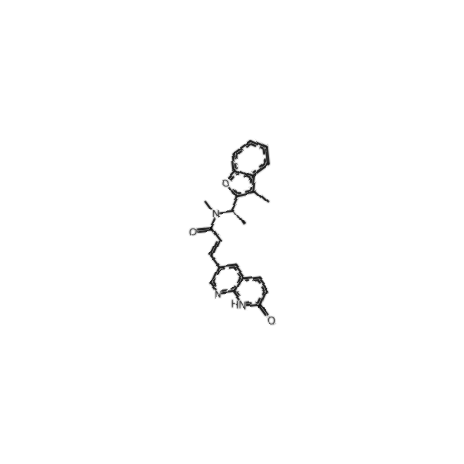 Cc1c([C@@H](C)N(C)C(=O)C=Cc2cnc3[nH]c(=O)ccc3c2)oc2ccccc12